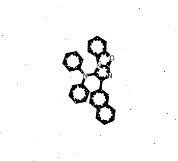 c1ccc(N(c2ccccc2)c2c(-c3ccc4ccccc4c3)nc3oc4ccccc4n23)cc1